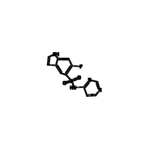 O=S(=O)(Nc1ccncn1)c1cc2cc[nH]c2cc1F